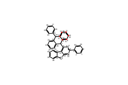 c1ccc(-c2nc(C34c5ccccc5C(c5ccccc5)(c5ccccc53)c3ccccc34)c3c(n2)oc2ccccc23)cc1